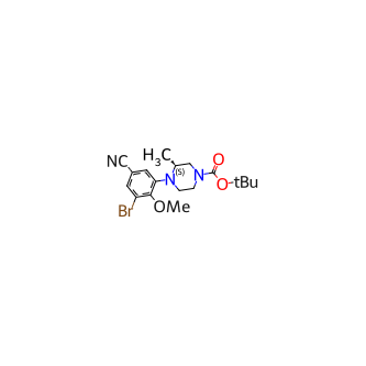 COc1c(Br)cc(C#N)cc1N1CCN(C(=O)OC(C)(C)C)C[C@@H]1C